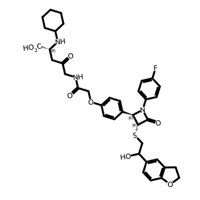 O=C(CNC(=O)COc1ccc([C@@H]2[C@@H](SCC(O)c3ccc4c(c3)CCO4)C(=O)N2c2ccc(F)cc2)cc1)C[C@@H](NC1CCCCC1)C(=O)O